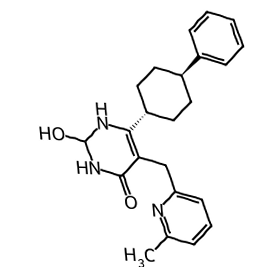 Cc1cccc(CC2=C([C@H]3CC[C@H](c4ccccc4)CC3)NC(O)NC2=O)n1